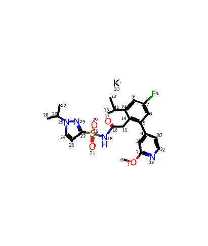 COc1cc(-c2cc(F)cc(C(C)C)c2CC(=O)NS(=O)(=O)c2ccn(C(C)C)n2)ccn1.[K]